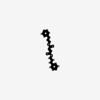 O=C(/C=C/C(=O)OCCCc1ccccc1)OCCCc1ccccc1